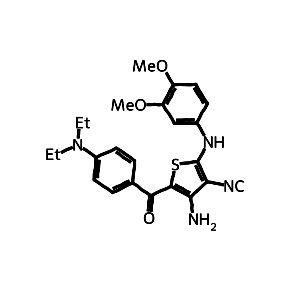 [C-]#[N+]c1c(Nc2ccc(OC)c(OC)c2)sc(C(=O)c2ccc(N(CC)CC)cc2)c1N